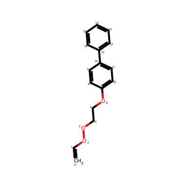 C=COOCCOc1ccc(-c2ccccc2)cc1